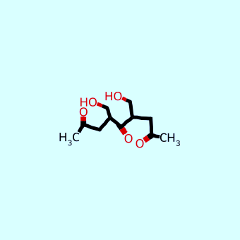 CC(=O)CC(CO)C(=O)C(CO)CC(C)=O